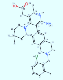 Cc1cccc(Cl)c1CN1CCc2cc(-c3c(N)nc(C)c(CC(=O)O)c3N3CCC(C)(C)CC3)ccc2C1